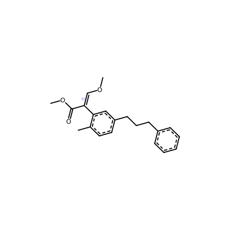 CO/C=C(/C(=O)OC)c1cc(CCCc2ccccc2)ccc1C